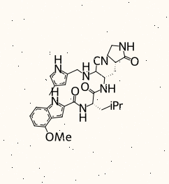 COc1cccc2[nH]c(C(=O)N[C@@H](CC(C)C)C(=O)N[C@@H](C[C@@H]3CCNC3=O)C(C#N)NCc3cc(C)c[nH]3)cc12